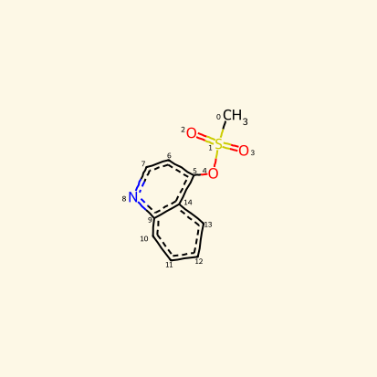 CS(=O)(=O)Oc1ccnc2ccccc12